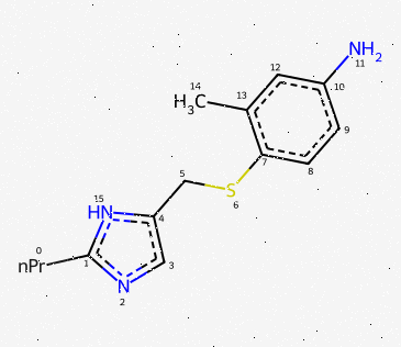 CCCc1ncc(CSc2ccc(N)cc2C)[nH]1